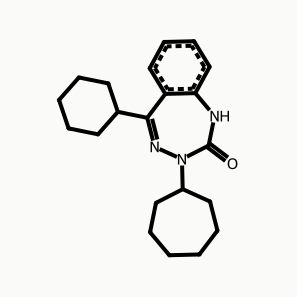 O=C1Nc2ccccc2C(C2CCCCC2)=NN1C1CCCCCC1